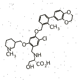 Cc1c(COc2cc(OCC3CCCN(C)C3)c(CN[C@@H](CO)C(=O)O)cc2Cl)cccc1-c1ccc2c(c1)OCCO2